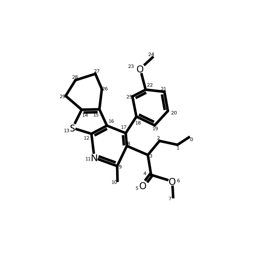 CCCC(C(=O)OC)c1c(C)nc2sc3c(c2c1-c1cccc(OC)c1)CCCC3